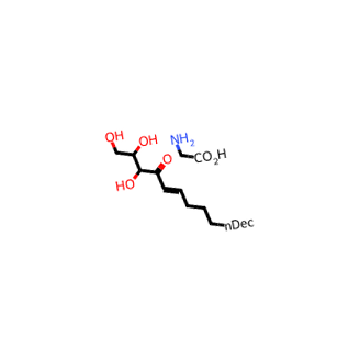 CCCCCCCCCCCCCC=CC(=O)C(O)C(O)CO.NCC(=O)O